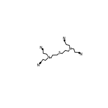 N#CCCN(CCC#N)CCCSCCCN(CCC#N)CCC#N